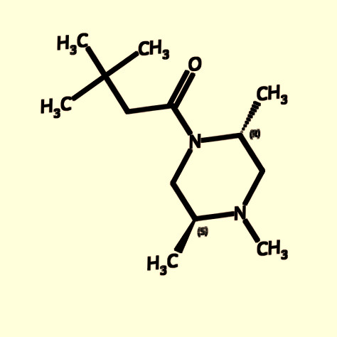 C[C@@H]1CN(C)[C@@H](C)CN1C(=O)CC(C)(C)C